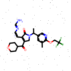 Cc1cc(C(C)N2CC(C(=O)C3CCOCC3)=C(/C=C\N=C\N)C2=O)cnc1OCC(F)(F)F